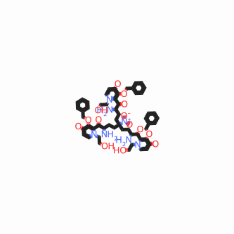 NC(CCC(CCC(N)C(=O)c1c(OCc2ccccc2)c(=O)ccn1CCO)(CCC(N)C(=O)c1c(OCc2ccccc2)c(=O)ccn1CCO)[N+](=O)[O-])C(=O)c1c(OCc2ccccc2)c(=O)ccn1CCO